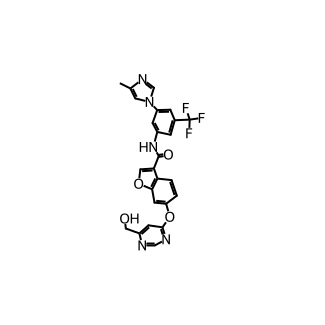 Cc1cn(-c2cc(NC(=O)c3coc4cc(Oc5cc(CO)ncn5)ccc34)cc(C(F)(F)F)c2)cn1